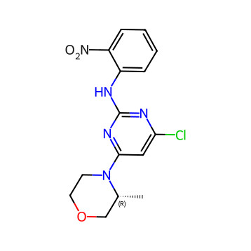 C[C@@H]1COCCN1c1cc(Cl)nc(Nc2ccccc2[N+](=O)[O-])n1